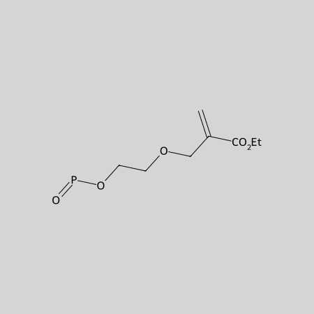 C=C(COCCOP=O)C(=O)OCC